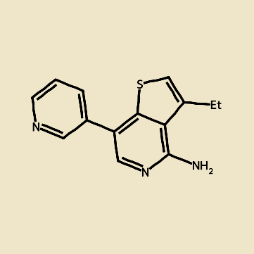 CCc1csc2c(-c3cccnc3)cnc(N)c12